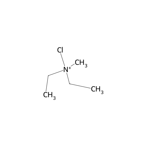 CC[N+](C)(Cl)CC